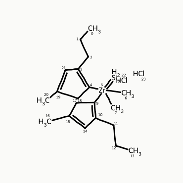 CCCC1=[C]([Zr]([CH3])([CH3])(=[SiH2])[C]2=C(CCC)C=C(C)C2)CC(C)=C1.Cl.Cl